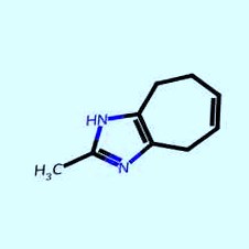 Cc1nc2c([nH]1)CCC=CC2